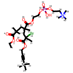 CCOC(=O)C(C)(C)CC(C)(CC(C)(Br)C(=O)OCC#C[Si](C)(C)C)C(=O)OCCOP(=O)(O)OCC[N+](C)(C)C